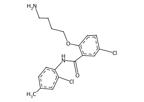 Cc1ccc(NC(=O)c2cc(Cl)ccc2OCCCCN)c(Cl)c1